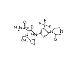 CCN(C1CCC1)[C@H](C(N)=O)C(=O)Nc1ccc(N2CCOCC2=O)c(C(F)(F)F)c1